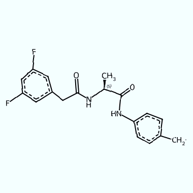 [CH2]c1ccc(NC(=O)[C@H](C)NC(=O)Cc2cc(F)cc(F)c2)cc1